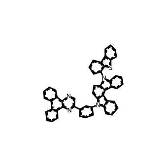 c1cc(-c2cnc3c4ccccc4c4ccccc4c3n2)cc(-n2c3ccccc3c3c4c5ccccc5n(-c5cccc6c5sc5ccccc56)c4ccc32)c1